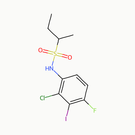 CCC(C)S(=O)(=O)Nc1ccc(F)c(I)c1Cl